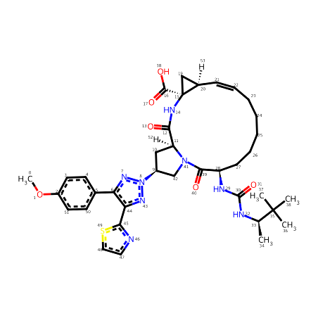 COc1ccc(-c2nn([C@H]3C[C@H]4C(=O)N[C@@]5(C(=O)O)C[C@H]5/C=C\CCCCC[C@@H](NC(=O)N[C@H](C)C(C)(C)C)C(=O)N4C3)nc2-c2nccs2)cc1